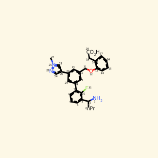 CCCC(N)c1cccc(-c2cc(COc3ccccc3CC(=O)O)cc(-c3cnn(C)c3)c2)c1F